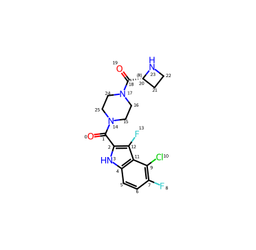 O=C(c1[nH]c2ccc(F)c(Cl)c2c1F)N1CCN(C(=O)[C@H]2CCN2)CC1